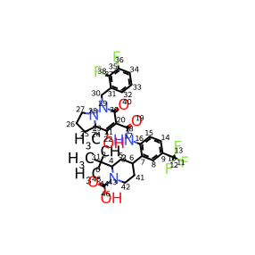 CC(C)(C)C1CC(c2cc(C(F)(F)F)ccc2NC(=O)C2=C(O)[C@@]3(C)CCCN3N(Cc3cccc(F)c3F)C2=O)CCN1C(=O)O